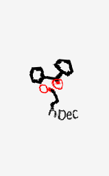 CCCCCCCCCCCCC(=O)OC(c1ccccc1)c1ccccc1